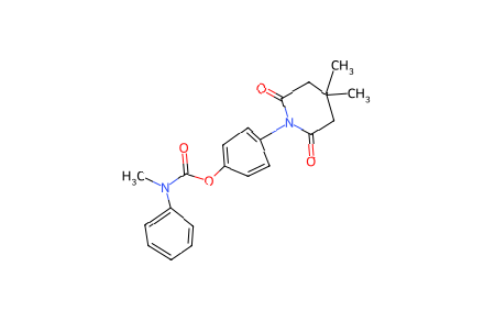 CN(C(=O)Oc1ccc(N2C(=O)CC(C)(C)CC2=O)cc1)c1ccccc1